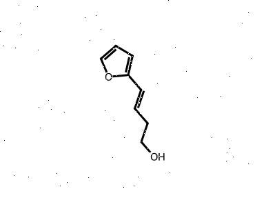 OCCC=Cc1ccco1